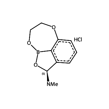 CN[C@H]1OB2OCCOc3cccc1c32.Cl